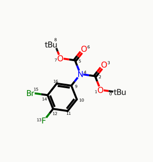 CC(C)(C)OC(=O)N(C(=O)OC(C)(C)C)c1ccc(F)c(Br)c1